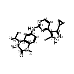 Cc1[nH]nc(C2CC2)c1-c1ccnc(Nc2ccc3c(c2)N(C(C)C)[C@H](C)C(=O)N3C)n1